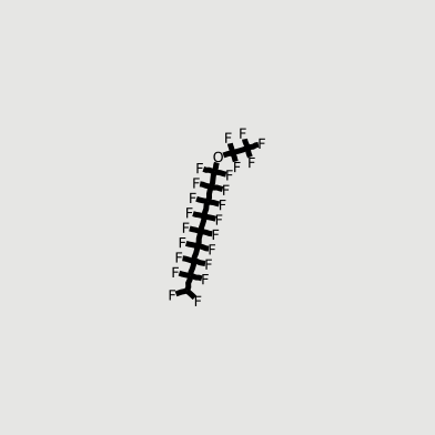 FC(F)C(F)(F)C(F)(F)C(F)(F)C(F)(F)C(F)(F)C(F)(F)C(F)(F)C(F)(F)OC(F)(F)C(F)(F)F